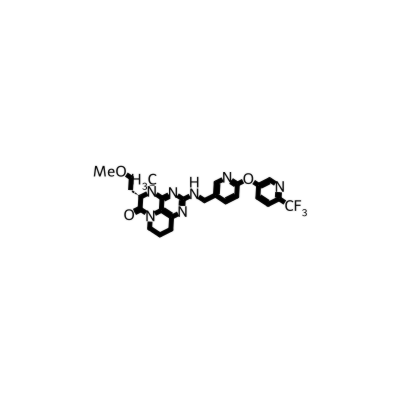 COCC[C@H]1C(=O)N2CCCc3nc(NCc4ccc(Oc5ccc(C(F)(F)F)nc5)nc4)nc(c32)N1C